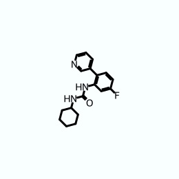 O=C(Nc1cc(F)ccc1-c1cccnc1)NC1CCCCC1